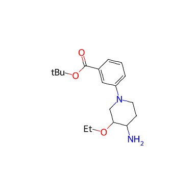 CCOC1CN(c2cccc(C(=O)OC(C)(C)C)c2)CCC1N